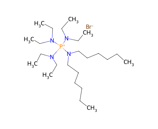 CCCCCCN(CCCCCC)[P+](N(CC)CC)(N(CC)CC)N(CC)CC.[Br-]